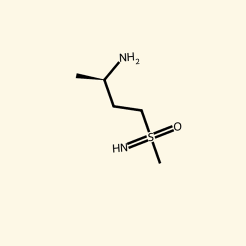 C[C@@H](N)CCS(C)(=N)=O